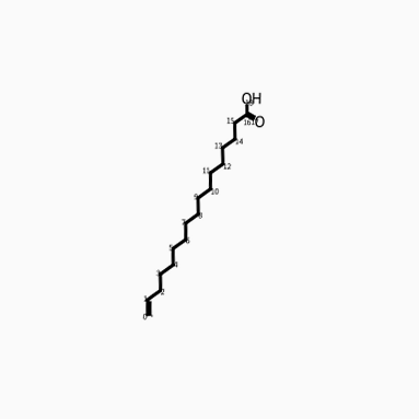 [CH]=CCCCCCCCCCCCCCCC(=O)O